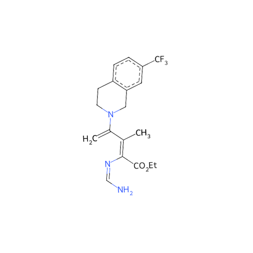 C=C(/C(C)=C(\N=C/N)C(=O)OCC)N1CCc2ccc(C(F)(F)F)cc2C1